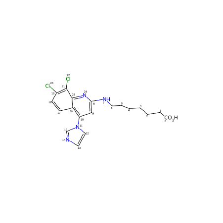 O=C(O)CCCCCCNc1cc(-n2ccnc2)c2ccc(Cl)c(Cl)c2n1